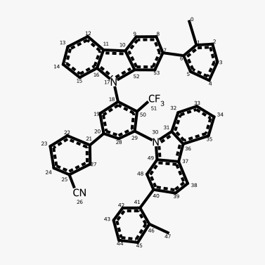 Cc1ccccc1-c1ccc2c3ccccc3n(-c3cc(-c4cccc(C#N)c4)cc(-n4c5ccccc5c5ccc(-c6ccccc6C)cc54)c3C(F)(F)F)c2c1